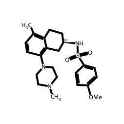 COc1ccc(S(=O)(=O)N[C@@H]2CCc3c(C)ccc(N4CCN(C)CC4)c3C2)cc1